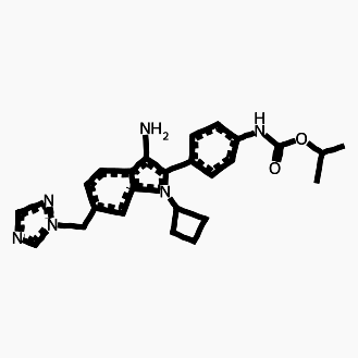 CC(C)OC(=O)Nc1ccc(-c2c(N)c3ccc(Cn4cncn4)cc3n2C2CCC2)cc1